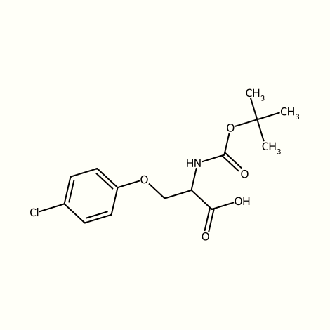 CC(C)(C)OC(=O)NC(COc1ccc(Cl)cc1)C(=O)O